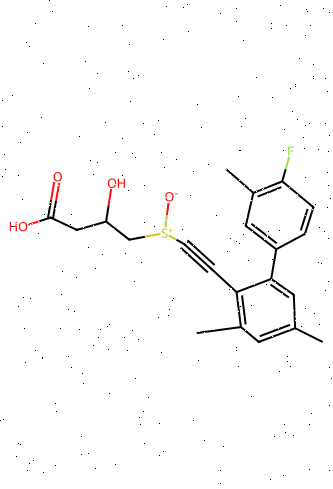 Cc1cc(C)c(C#C[S+]([O-])CC(O)CC(=O)O)c(-c2ccc(F)c(C)c2)c1